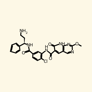 COc1ncc2cc(C(=O)Nc3cc(C(=O)N[C@H](CCN)c4ccccc4)ccc3Cl)c(=O)[nH]c2n1